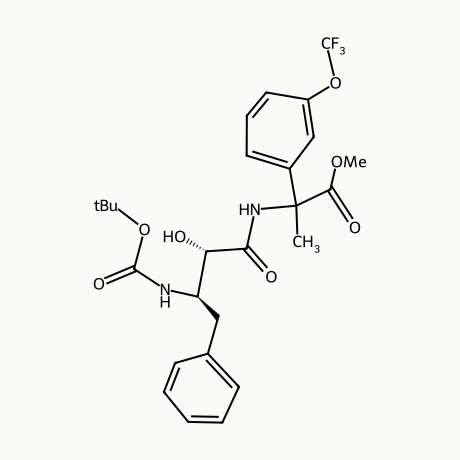 COC(=O)C(C)(NC(=O)[C@@H](O)[C@@H](Cc1ccccc1)NC(=O)OC(C)(C)C)c1cccc(OC(F)(F)F)c1